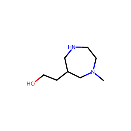 CN1CCNCC(CCO)C1